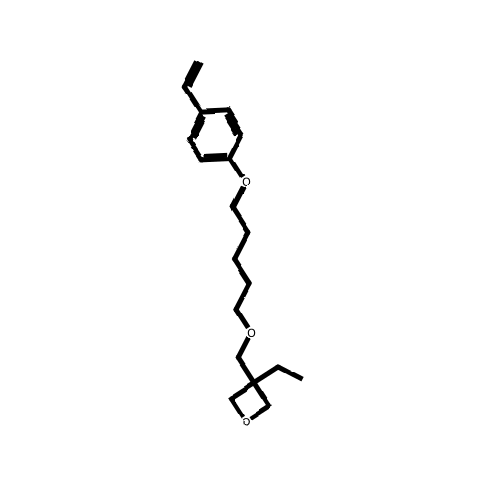 C=Cc1ccc(OCCCCCOCC2(CC)COC2)cc1